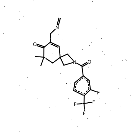 C=NCC1=CC2(CN(C(=O)c3ccc(C(F)(F)F)c(F)c3)C2)CC(C)(C)C1=O